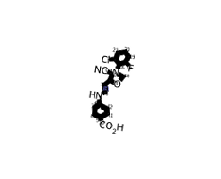 N#CC1=C(/C=C/Nc2ccc(C(=O)O)cc2)OCN1c1c(F)cccc1Cl